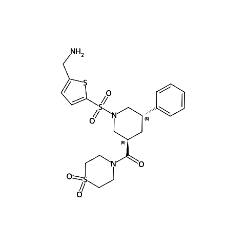 NCc1ccc(S(=O)(=O)N2C[C@H](C(=O)N3CCS(=O)(=O)CC3)C[C@@H](c3ccccc3)C2)s1